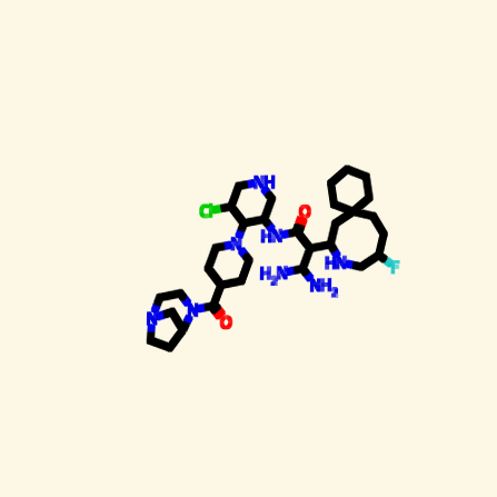 NC(N)C(C(=O)NC1CNCC(Cl)C1N1CCC(C(=O)N2CCN3CCC2C3)CC1)C1CC2(CCCCC2)CCC(F)CN1